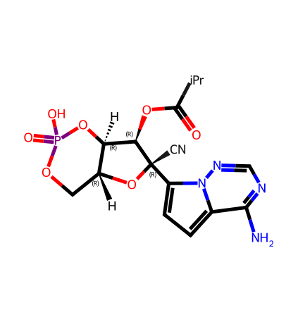 CC(C)C(=O)O[C@@H]1[C@@H]2OP(=O)(O)OC[C@H]2O[C@@]1(C#N)c1ccc2c(N)ncnn12